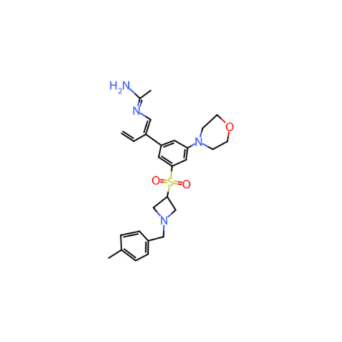 C=C/C(=C\N=C(/C)N)c1cc(N2CCOCC2)cc(S(=O)(=O)C2CN(Cc3ccc(C)cc3)C2)c1